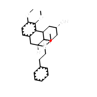 COc1ccc2c(c1OC)[C@]13CCN(CCc4ccccc4)[C@H](C2)[C@]1(O)CC[C@H](O)C3